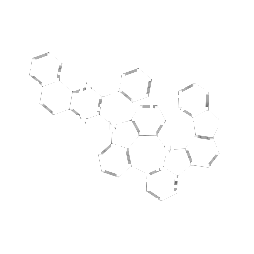 c1ccc(-c2nc3c(ccc4ccccc43)nc2-n2c3cccc4c5cccc6c7ccc8sc9ccccc9c8c7n(c7cccc2c7c43)c56)cc1